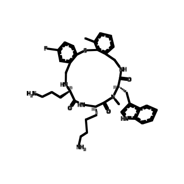 Cc1cccc2c1Sc1ccc(F)cc1CN[C@H](CCCN)C(=O)N[C@@H](CCCCN)C(=O)N(C)[C@@H](Cc1c[nH]c3ccccc13)C(=O)NC2